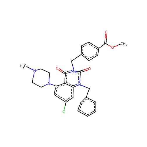 COC(=O)c1ccc(Cn2c(=O)c3c(N4CCN(C)CC4)cc(Cl)cc3n(Cc3ccccc3)c2=O)cc1